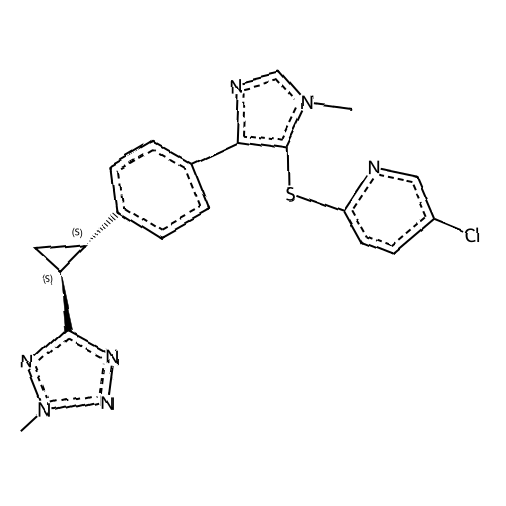 Cn1nnc([C@H]2C[C@@H]2c2ccc(-c3ncn(C)c3Sc3ccc(Cl)cn3)cc2)n1